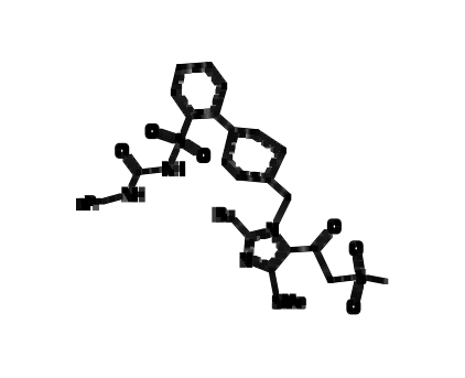 CCCNC(=O)NS(=O)(=O)c1ccccc1-c1ccc(Cn2c(C(C)CC)nc(SC)c2C(=O)CS(C)(=O)=O)cc1